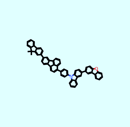 CC1(C)c2ccccc2-c2ccc(-c3ccc4c(c3)-c3cccc5c(-c6ccc(-n7c8ccccc8c8cc(-c9ccc%10oc%11ccccc%11c%10c9)ccc87)cc6)ccc-4c35)cc21